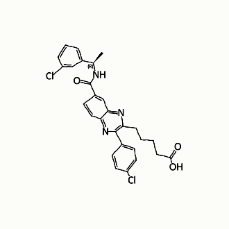 C[C@@H](NC(=O)c1ccc2nc(-c3ccc(Cl)cc3)c(CCCCC(=O)O)nc2c1)c1cccc(Cl)c1